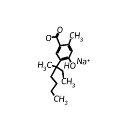 CCCCC(C)(CC)c1cc(C(=O)[O-])c(C)cc1O.[Na+]